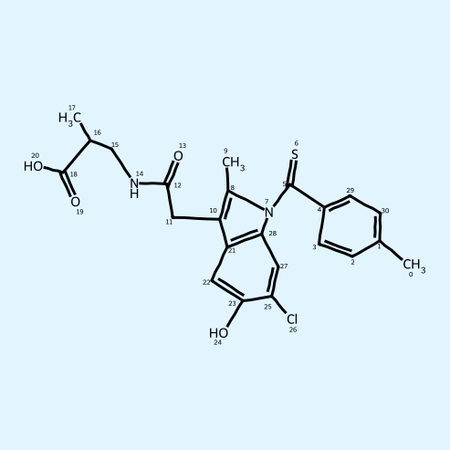 Cc1ccc(C(=S)n2c(C)c(CC(=O)NCC(C)C(=O)O)c3cc(O)c(Cl)cc32)cc1